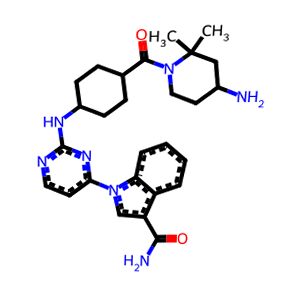 CC1(C)CC(N)CCN1C(=O)C1CCC(Nc2nccc(-n3cc(C(N)=O)c4ccccc43)n2)CC1